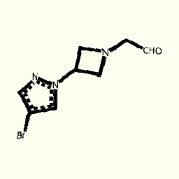 O=CCN1CC(n2cc(Br)cn2)C1